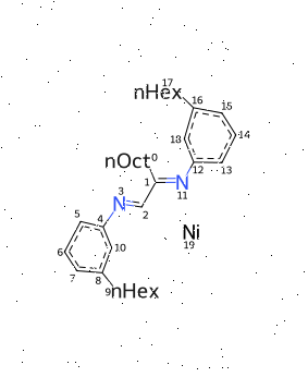 CCCCCCCCC(/C=N/c1cccc(CCCCCC)c1)=N\c1cccc(CCCCCC)c1.[Ni]